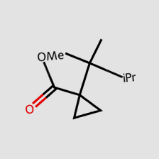 COC(=O)C1(C(C)(C)C(C)C)CC1